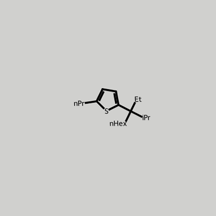 CCCCCCC(CC)(c1ccc(CCC)s1)C(C)C